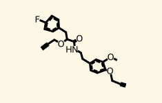 C#CCOc1ccc(CCNC(=O)C(Cc2ccc(F)cc2)OCC#C)cc1OC